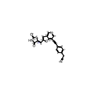 N#CCc1ccc(C#Cc2cncc3cc(/C=C4\SC(=O)NC4=O)oc23)cc1